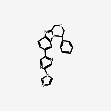 c1ccc(C2COCc3nc4ccc(-c5cnc(-n6ccnc6)cn5)cc4n32)cc1